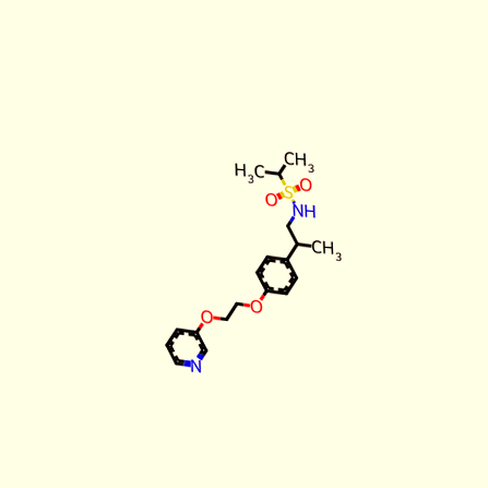 CC(CNS(=O)(=O)C(C)C)c1ccc(OCCOc2cccnc2)cc1